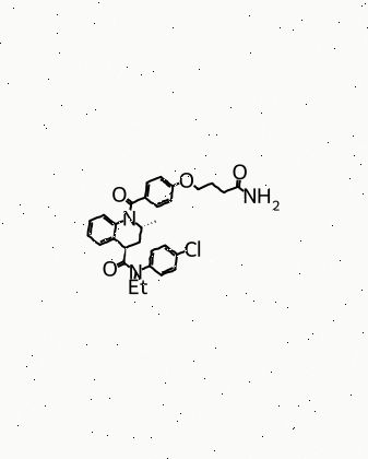 CCN(C(=O)[C@@H]1C[C@@H](C)N(C(=O)c2ccc(OCCCC(N)=O)cc2)c2ccccc21)c1ccc(Cl)cc1